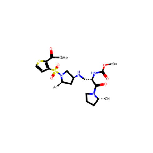 COC(=O)c1sccc1S(=O)(=O)N1C[C@@H](NC[C@H](NC(=O)OC(C)(C)C)C(=O)N2CCC[C@H]2C#N)C[C@H]1C(C)=O